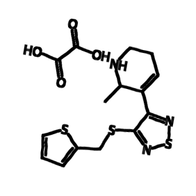 CC1NCCC=C1c1nsnc1SCc1cccs1.O=C(O)C(=O)O